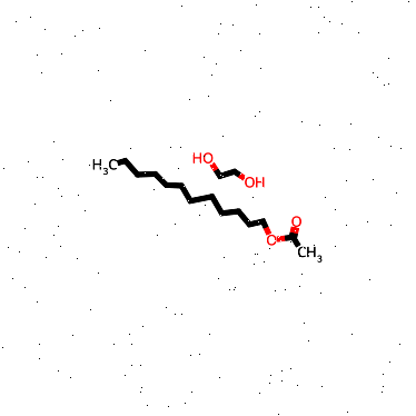 CCCCCCCCCCCCOC(C)=O.OCCO